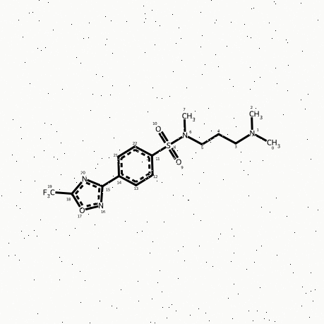 CN(C)CCCN(C)S(=O)(=O)c1ccc(-c2noc(C(F)(F)F)n2)cc1